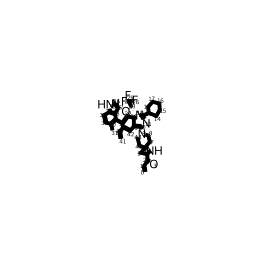 C=CC(=O)C1CC2(CCN(c3nc(C4CCCCC4)nc4c(OCC(F)(F)F)c(-c5c(C)ccc6[nH]ncc56)c(C=C)cc34)CC2)N1